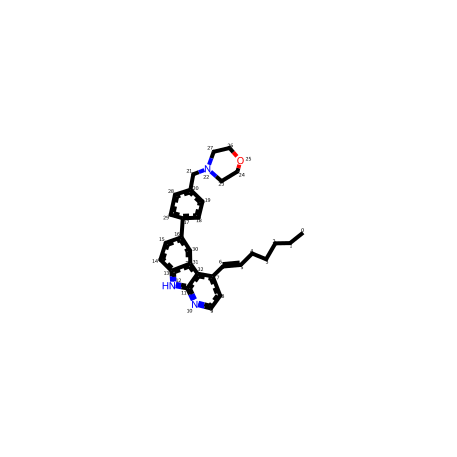 CCCCCC=Cc1ccnc2[nH]c3ccc(-c4ccc(CN5CCOCC5)cc4)cc3c12